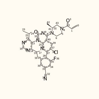 C=CC(=O)N1CCN(c2nc(=O)n(-c3c(C(C)C)ncnc3C(C)C)c3nc(-c4ccc(C#N)cc4F)c(Cl)cc23)[C@@H](C)C1